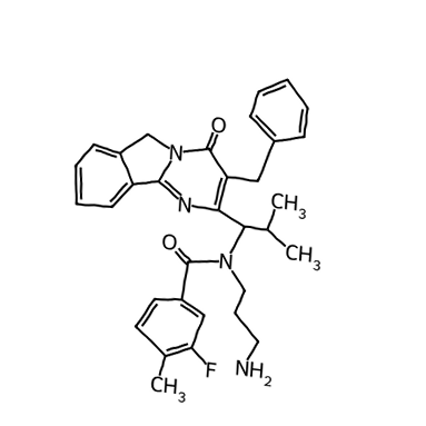 Cc1ccc(C(=O)N(CCCN)C(c2nc3n(c(=O)c2Cc2ccccc2)Cc2ccccc2-3)C(C)C)cc1F